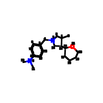 CC1CN(Cc2ccc(N(C)C)cc2)CC1C1CCCCO1